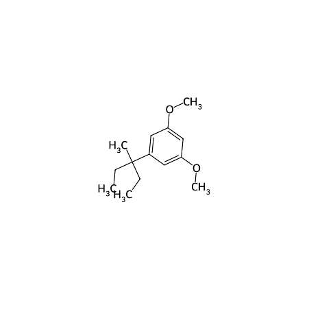 CCC(C)(CC)c1cc(OC)cc(OC)c1